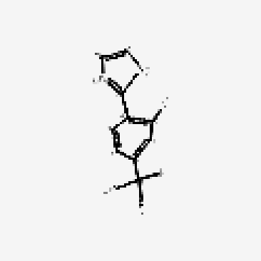 Fc1cc(C(F)(F)F)ccc1-c1ncc[nH]1